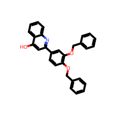 Oc1cc(-c2ccc(OCc3ccccc3)c(OCc3ccccc3)c2)nc2ccccc12